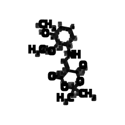 COc1cccc(NC=C2C(=O)OC(C)(C)OC2=O)c1OC